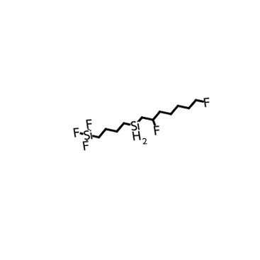 FCCCCCC(F)C[SiH2]CCCC[Si](F)(F)F